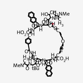 CN[C@@H](C)C(=O)N[C@H](C(=O)N1C[C@@H]2C[C@H]1C(=O)N[C@@H](Cc1ccc3ccccc3c1)C(=O)N[C@H](C(=O)O)Cc1ccc(cc1)C(=O)N[C@H]1C[C@@H](C(=O)N[C@@H](Cc3ccc4ccccc4c3)C(=O)N[C@H](C(=O)O)Cc3ccc(cc3)OC/C=C/CO2)N(C(=O)[C@@H](NC(=O)[C@H](C)NC)C(C)(C)C)C1)C(C)O